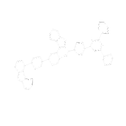 c1ccc(-c2nc(-c3ccccc3)nc(-c3ccc(-c4nc5ccc(-c6ccc(-c7cccc8oc9ccccc9c78)cc6)cc5c5c4sc4ccccc45)cc3)n2)cc1